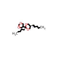 CCC/C=C/[C@H]1CO[C@](CCCCC)(C2COCOC2)OC1